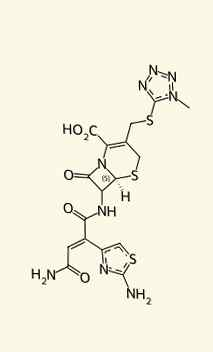 Cn1nnnc1SCC1=C(C(=O)O)N2C(=O)C(NC(=O)C(=CC(N)=O)c3csc(N)n3)[C@@H]2SC1